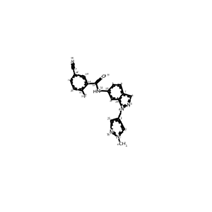 Cn1cc(-n2ncc3ccc(NC(=O)c4cc(C#N)ccc4F)cc32)cn1